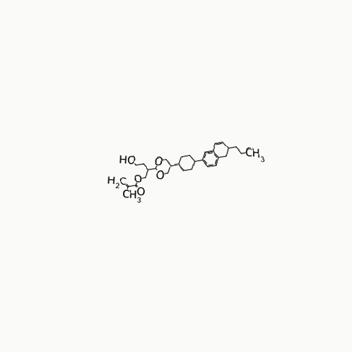 C=C(C)C(=O)OCC(CCO)C1OCC(C2CCC(c3ccc4c(c3)C=CC(CCC)C4)CC2)CO1